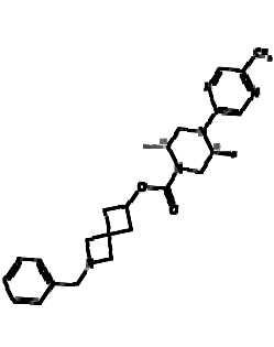 C[C@@H]1CN(c2cnc(C(F)(F)F)cn2)[C@@H](C)CN1C(=O)OC1CC2(C1)CN(Cc1ccccc1)C2